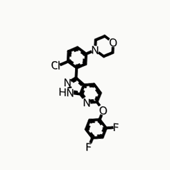 Fc1ccc(Oc2ccc3c(-c4cc(N5CCOCC5)ccc4Cl)n[nH]c3n2)c(F)c1